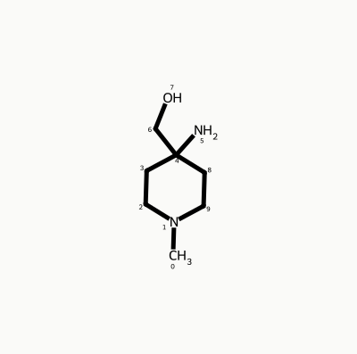 CN1CCC(N)(CO)CC1